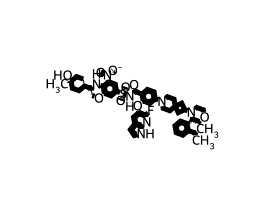 CC(C)c1ccccc1[C@@H]1COCCN1C1CC2(CCN(c3ccc(C(=O)NS(=O)(=O)c4cc5c(c([N+](=O)[O-])c4)N[C@@H]([C@H]4CC[C@](C)(O)CC4)CO5)c(Oc4cc5cc[nH]c5nc4F)c3)CC2)C1